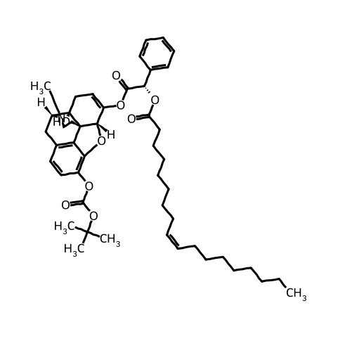 CCCCCCCC/C=C\CCCCCCCC(=O)O[C@H](C(=O)OC1=CC[C@@]2(O)[C@H]3Cc4ccc(OC(=O)OC(C)(C)C)c5c4[C@@]2(CCN3C)[C@H]1O5)c1ccccc1